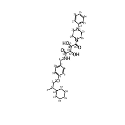 CC(COc1ccc(CNC(=O)[C@H](O)[C@@H](O)C(=O)N2CCN(c3ccccc3)CC2)cc1)C1CCCCC1